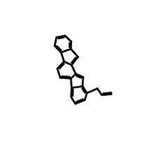 C=CCc1cccc2c1C=c1c-2ccc2c1=Cc1ccccc1-2